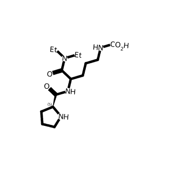 CCN(CC)C(=O)C(CCCNC(=O)O)NC(=O)[C@@H]1CCCN1